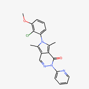 COc1cccc(-n2c(C)c3cnn(-c4ccccn4)c(=O)c3c2C)c1Cl